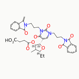 C=C1c2ccccc2C(=O)N1CCCn1c(=O)c([C@@H]2O[C@H](CC)C(C)[C@@H]2OC(=O)CCC(=O)O)cn(CCCN2C(=O)c3ccccc3C2=O)c1=O